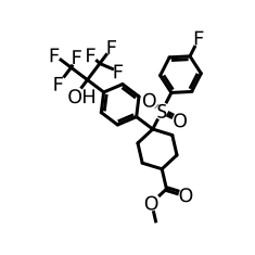 COC(=O)C1CCC(c2ccc(C(O)(C(F)(F)F)C(F)(F)F)cc2)(S(=O)(=O)c2ccc(F)cc2)CC1